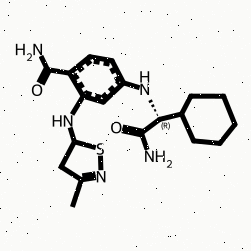 CC1=NSC(Nc2cc(N[C@@H](C(N)=O)C3CCCCC3)ccc2C(N)=O)C1